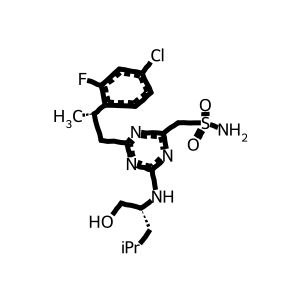 CC(C)C[C@H](CO)Nc1nc(C[C@H](C)c2ccc(Cl)cc2F)nc(CS(N)(=O)=O)n1